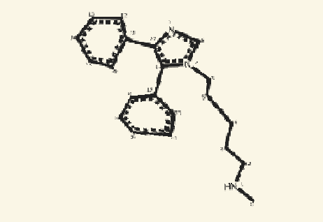 CNCCCCCn1cnc(-c2ccccc2)c1-c1ccccc1